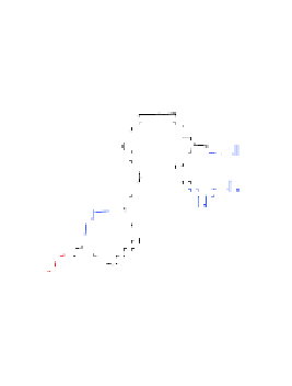 O=C1C=CC(c2cccc3[nH]nnc23)=N1